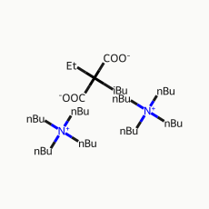 CCC(C)C(CC)(C(=O)[O-])C(=O)[O-].CCCC[N+](CCCC)(CCCC)CCCC.CCCC[N+](CCCC)(CCCC)CCCC